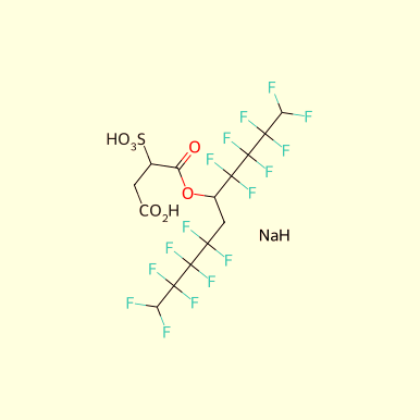 O=C(O)CC(C(=O)OC(CC(F)(F)C(F)(F)C(F)(F)C(F)F)C(F)(F)C(F)(F)C(F)(F)C(F)F)S(=O)(=O)O.[NaH]